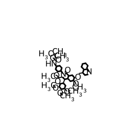 COC(=O)c1c(-c2cc(OC)c(OC)c(OC)c2)c2cc(OC)c(OCc3ccnc4ccccc34)cc2c(=O)n1-c1ccc(NC(=O)OC(C)(C)C)cc1